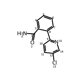 NC(=O)c1ccccc1-c1ccc(Cl)cn1